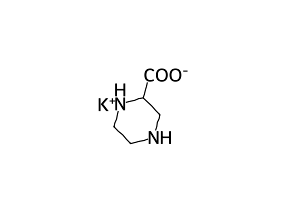 O=C([O-])C1CNCCN1.[K+]